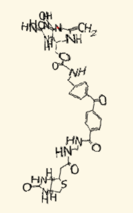 C=C1NC(COC(=O)NCc2ccc(C(=O)c3ccc(C(=O)NCNC(=O)CC4SC[C@@H]5NC(=O)N[C@H]45)cc3)cc2)[C@@H]2NC(=N)NC23N1CCC3(O)O